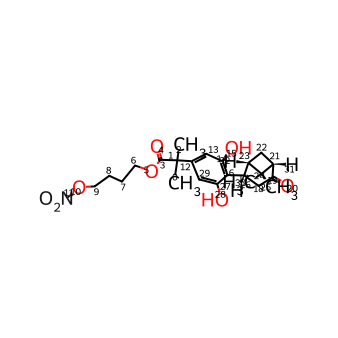 CC(C)(C(=O)OCCCCO[N+](=O)[O-])c1cc(O)c([C@H]2CC(=O)[C@H]3C[C@@H]2C3(C)C)c(O)c1